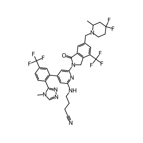 CC1CC(F)(F)CCN1Cc1cc2c(c(C(F)(F)F)c1)CN(c1cc(-c3cc(C(F)(F)F)ccc3-c3nncn3C)cc(NCCCC#N)n1)C2=O